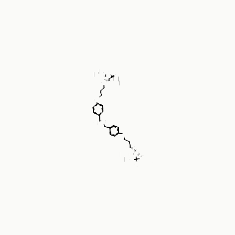 CC(C)(C)[Si](C)(C)OCCCOc1ccc(COC(O)c2ccc(OCCCO[Si](C)(C)C(C)(C)C)cc2)cc1